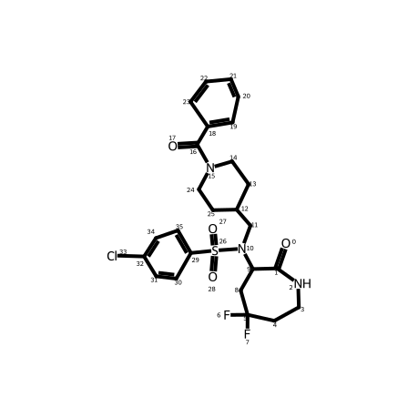 O=C1NCCC(F)(F)CC1N(CC1CCN(C(=O)c2ccccc2)CC1)S(=O)(=O)c1ccc(Cl)cc1